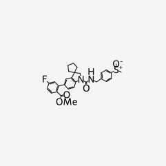 COC(=O)c1ccc(F)cc1-c1ccc2c(c1)C1(CCCC1)CN2C(=O)NCc1ccc([S+](C)[O-])cc1